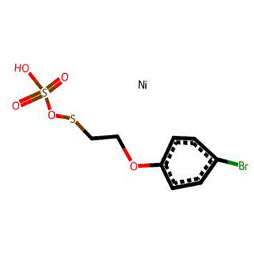 O=S(=O)(O)OSCCOc1ccc(Br)cc1.[Ni]